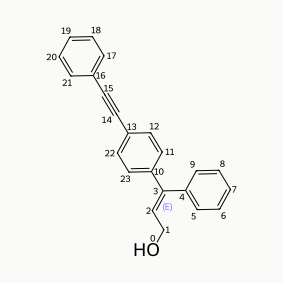 OC/C=C(\c1ccccc1)c1ccc(C#Cc2ccccc2)cc1